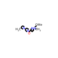 COCCN(C)c1ccc(C(=O)N2CCC(N3CCC[C@@H](C)C3)CC2)cn1